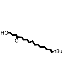 CCCCC=CCC=CCCCCCCCC(=O)C=CCO